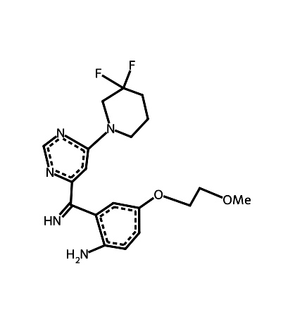 COCCOc1ccc(N)c(C(=N)c2cc(N3CCCC(F)(F)C3)ncn2)c1